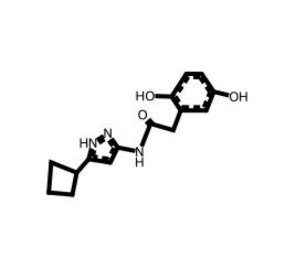 O=C(Cc1cc(O)ccc1O)Nc1cc(C2CCC2)[nH]n1